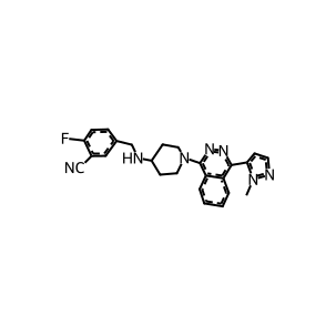 Cn1nccc1-c1nnc(N2CCC(NCc3ccc(F)c(C#N)c3)CC2)c2ccccc12